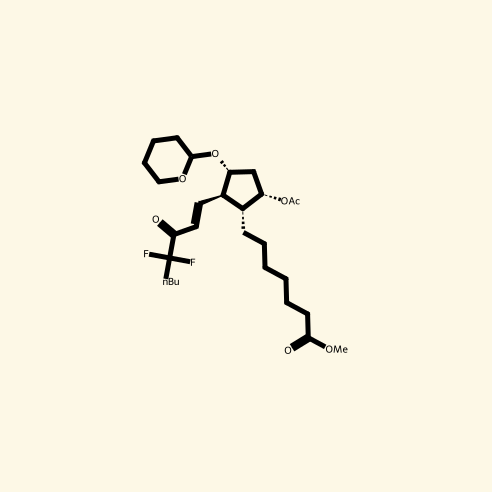 CCCCC(F)(F)C(=O)C=C[C@@H]1[C@@H](CCCCCCC(=O)OC)[C@@H](OC(C)=O)C[C@H]1OC1CCCCO1